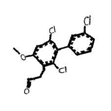 COc1cc(Cl)c(-c2cccc(Cl)c2)c(Cl)c1CC=O